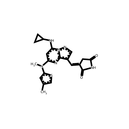 Cc1csc(N(C)c2cc(NC3CC3)n3ncc(C=C4CC(=O)NC4=O)c3n2)c1